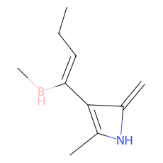 C=C1NC(C)=C1/C(BC)=C/CC